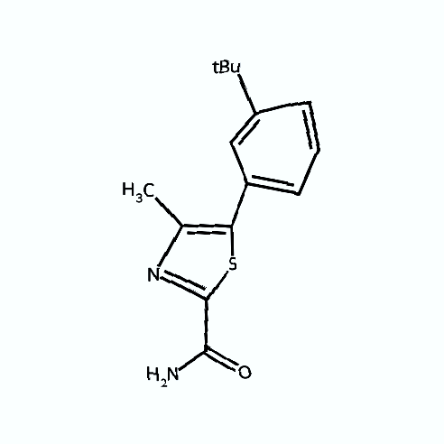 Cc1nc(C(N)=O)sc1-c1cccc(C(C)(C)C)c1